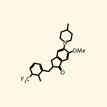 COc1cc2c(cc1N1CCC(C)CC1)CC(CC1=CC=CC(C(F)(F)F)C1C)C2=O